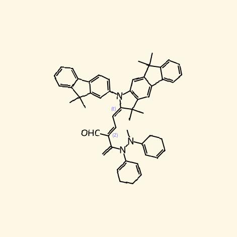 C=C(/C(C=O)=C/C=C1/N(c2ccc3c(c2)C(C)(C)c2ccccc2-3)c2cc3c(cc2C1(C)C)-c1ccccc1C3(C)C)N(C1=CCCC=C1)N(C)C1=CC=CCC1